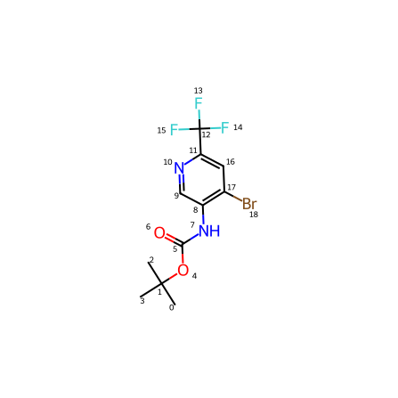 CC(C)(C)OC(=O)Nc1cnc(C(F)(F)F)cc1Br